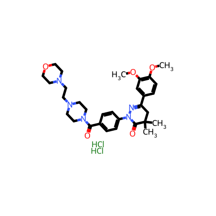 COc1ccc(C2=NN(c3ccc(C(=O)N4CCN(CCN5CCOCC5)CC4)cc3)C(=O)C(C)(C)C2)cc1OC.Cl.Cl